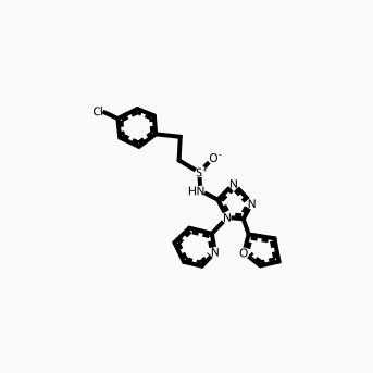 [O-][S+](CCc1ccc(Cl)cc1)Nc1nnc(-c2ccco2)n1-c1ccccn1